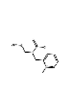 CC(=O)SCC(Cc1ccccc1C)C(=O)Cl